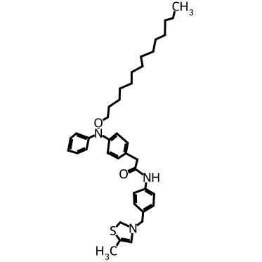 CCCCCCCCCCCCCCON(c1ccccc1)c1ccc(CC(=O)Nc2ccc(CN3C=C(C)SC3)cc2)cc1